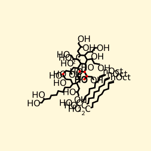 CCCCCCCCC=CCCCCCCCC(=O)O.CCCCCCCCC=CCCCCCCCC(=O)O.CCCCCCCCC=CCCCCCCCC(=O)O.O=C(O)C(CC(O)CO)C(CC(O)CO)C(CC(O)CO)C(CC(O)CO)C(CC(O)CO)C(CC(O)CO)C(C=CC(CC(O)CO)C(CCCCCCCC(O)CO)CC(O)CO)CC(O)CO